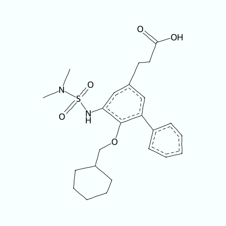 CN(C)S(=O)(=O)Nc1cc(CCC(=O)O)cc(-c2ccccc2)c1OCC1CCCCC1